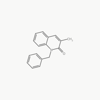 Cc1cc2ccccc2n(Cc2ccccc2)c1=O